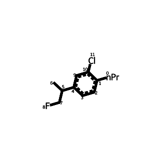 CCCc1ccc([C](C)CF)cc1Cl